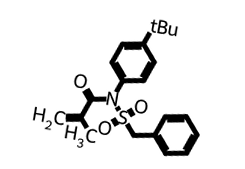 C=C(C)C(=O)N(c1ccc(C(C)(C)C)cc1)S(=O)(=O)Cc1ccccc1